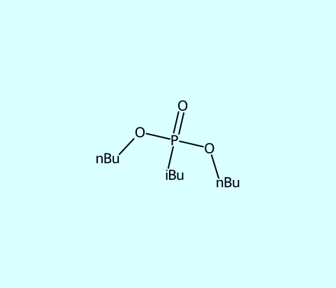 CCCCOP(=O)(OCCCC)C(C)CC